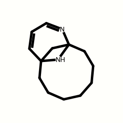 C1=CC23CCCCCCCC(C2)(N=C1)N3